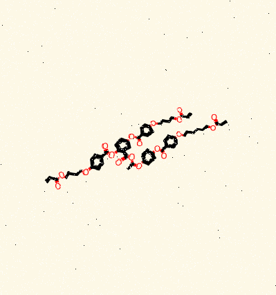 C=CC(=O)OCCCCCCOc1ccc(C(=O)Oc2ccc(OC(C)OC(=O)c3cc(OC(=O)c4ccc(OCCCCOC(=O)C=C)cc4)ccc3OC(=O)c3ccc(OCCCCOC(=O)C=C)cc3)cc2)cc1